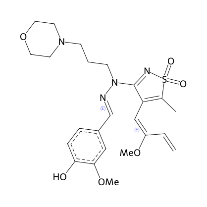 C=C/C(=C\C1=C(C)S(=O)(=O)N=C1N(CCCN1CCOCC1)/N=C/c1ccc(O)c(OC)c1)OC